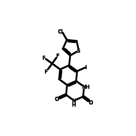 O=c1[nH]c(=O)c2cc(C(F)(F)F)c(-c3cc(Cl)cs3)c(I)c2[nH]1